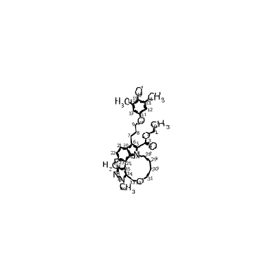 CCOC(=O)c1c(CCCOc2cc(C)c(Cl)c(C)c2)c2ccc(F)c3c2n1CCCCOCc1c-3c(C)nn1C